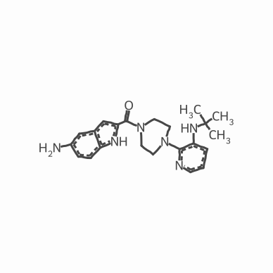 CC(C)(C)Nc1cccnc1N1CCN(C(=O)c2cc3cc(N)ccc3[nH]2)CC1